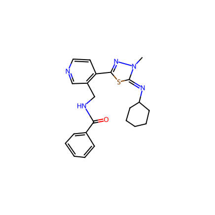 Cn1nc(-c2ccncc2CNC(=O)c2ccccc2)sc1=NC1CCCCC1